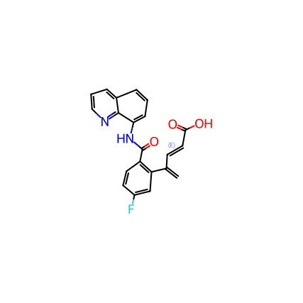 C=C(/C=C/C(=O)O)c1cc(F)ccc1C(=O)Nc1cccc2cccnc12